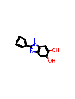 Oc1cc2nc(-c3ccccc3)[nH]c2cc1O